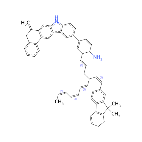 C=C1Cc2ccccc2-c2cc3c(cc21)[nH]c1ccc(C2=CC(/C=C/CC(/C=C\c4ccc5c(c4)C(C)(C)C4=C5C=CCC4)/C=C/C=C\C=C/C)C(N)C=C2)cc13